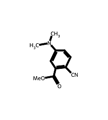 COC(=O)c1cc(N(C)C)ccc1C#N